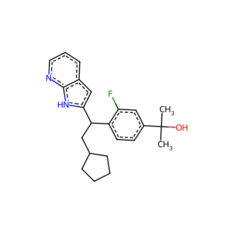 CC(C)(O)c1ccc(C(CC2CCCC2)c2cc3cccnc3[nH]2)c(F)c1